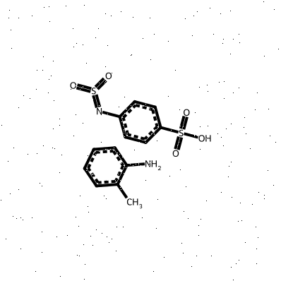 Cc1ccccc1N.O=S(=O)=Nc1ccc(S(=O)(=O)O)cc1